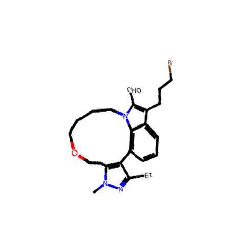 CCc1nn(C)c2c1-c1cccc3c(CCCBr)c(C=O)n(c13)CCCCOC2